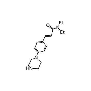 CCN(CC)C(=O)/C=C/c1ccc(N2CCNCC2)cc1